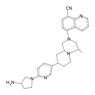 CC1CN(c2ccc(C#N)c3ncccc23)CC2CC(c3ccc(N4CCC(N)C4)nc3)CCN12